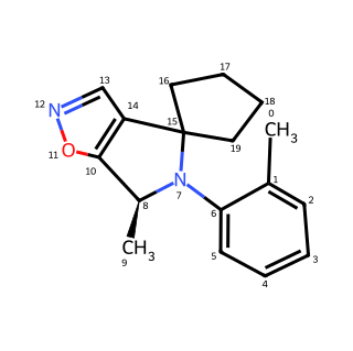 Cc1ccccc1N1[C@@H](C)c2oncc2C12CCCC2